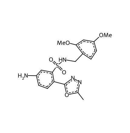 COc1ccc(CNS(=O)(=O)c2cc(N)ccc2-c2nnc(C)o2)c(OC)c1